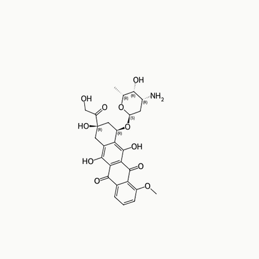 COc1cccc2c1C(=O)c1c(O)c3c(c(O)c1C2=O)C[C@](O)(C(=O)CO)C[C@H]3O[C@@H]1C[C@@H](N)[C@@H](O)[C@@H](C)O1